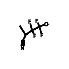 CC(C#N)C(F)(F)C([O])(F)F